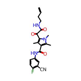 C=CCCNC(=O)C(=O)c1c(C)c(C(=O)Nc2ccc(F)c(C#N)c2)c(C)n1C